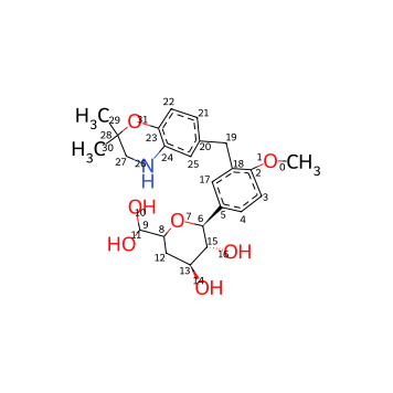 COc1ccc([C@@H]2OC(C(O)O)C[C@H](O)[C@H]2O)cc1Cc1ccc2c(c1)NCC(C)(C)O2